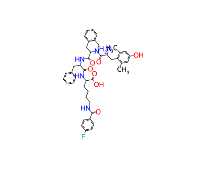 Cc1cc(O)cc(C)c1CC(N)C(=O)N1Cc2ccccc2CC1C(=O)NC(Cc1ccccc1)C(=O)NC(CCCCNC(=O)c1ccc(F)cc1)C(=O)O